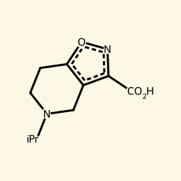 CC(C)N1CCc2onc(C(=O)O)c2C1